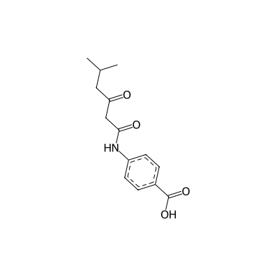 CC(C)CC(=O)CC(=O)Nc1ccc(C(=O)O)cc1